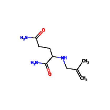 C=C(C)CNC(CCC(N)=O)C(N)=O